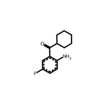 Nc1ccc(F)cc1C(=O)C1CCCCC1